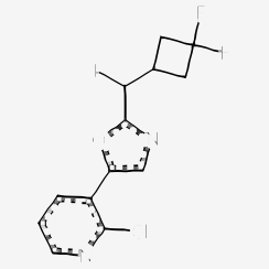 FC1(F)CC(C(I)c2ncc(-c3cccnc3Cl)o2)C1